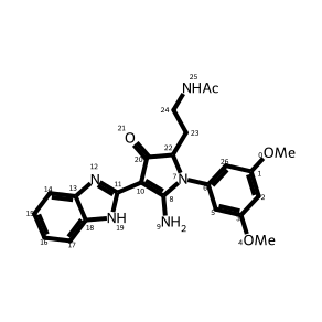 COc1cc(OC)cc(N2C(N)=C(c3nc4ccccc4[nH]3)C(=O)C2CCNC(C)=O)c1